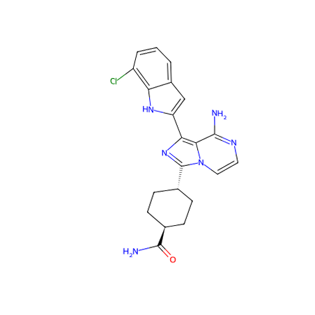 Nc1nccn2c1c(-c1cc3cccc(Cl)c3[nH]1)nc2[C@H]1CC[C@H](C(N)=O)CC1